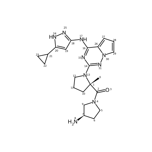 C[C@@]1(C(=O)N2CC[C@@H](N)C2)CCCN1c1nc(Nc2cc(C3CC3)[nH]n2)c2cccn2n1